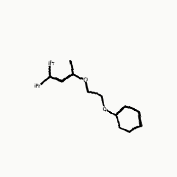 CC(CC(C(C)C)C(C)C)OCCOC1CCCCC1